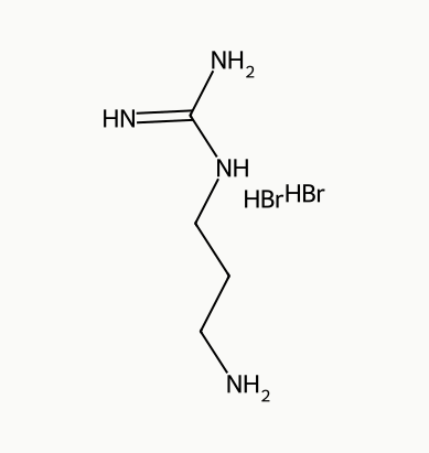 Br.Br.N=C(N)NCCCN